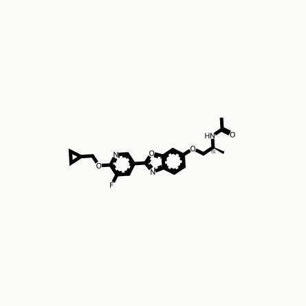 CC(=O)N[C@@H](C)COc1ccc2nc(-c3cnc(OCC4CC4)c(F)c3)oc2c1